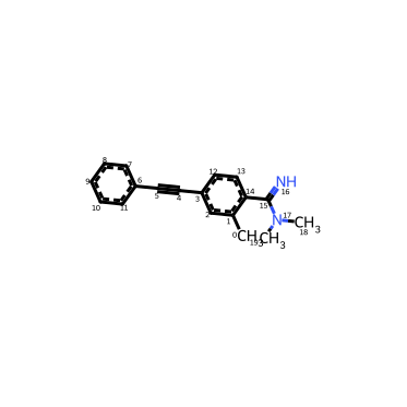 Cc1cc(C#Cc2ccccc2)ccc1C(=N)N(C)C